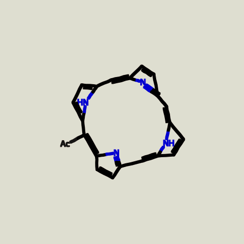 CC(=O)c1c2nc(cc3ccc(cc4nc(cc5ccc1[nH]5)C=C4)[nH]3)C=C2